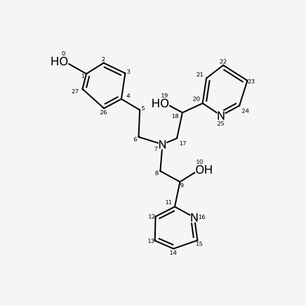 Oc1ccc(CCN(CC(O)c2ccccn2)CC(O)c2ccccn2)cc1